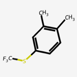 Cc1ccc(SC(F)(F)F)cc1C